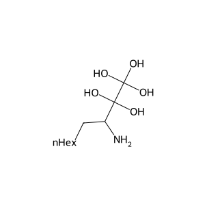 CCCCCCCC(N)C(O)(O)C(O)(O)O